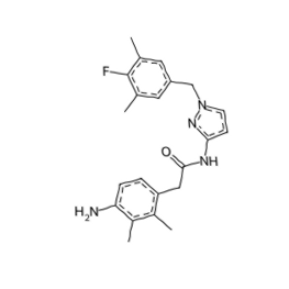 Cc1cc(Cn2ccc(NC(=O)Cc3ccc(N)c(C)c3C)n2)cc(C)c1F